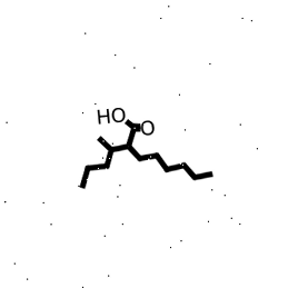 CCCCCCC(C(=O)O)C(C)CCC